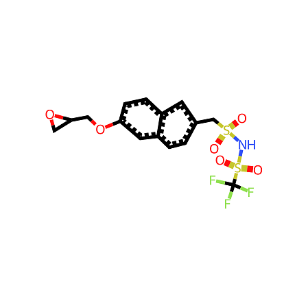 O=S(=O)(Cc1ccc2cc(OCC3CO3)ccc2c1)NS(=O)(=O)C(F)(F)F